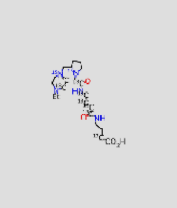 CCN1CC[15N](CC2CCC[15N]2C[13C](=O)N[13CH2][13CH2][13CH2][13C](=O)NCC[13CH2][13C](=O)O)[13CH2][13CH2]1